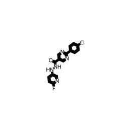 O=C(NNc1ccc(F)nc1)c1cnc(-c2ccc(Cl)cc2)nc1